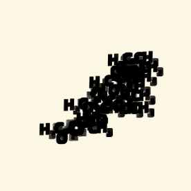 CC[C@H](C)[C@@H]([C@@H](CC(=O)N1CCC[C@H]1[C@H](OC)[C@@H](C)C(=O)NC(C)c1ccc(C(C)=O)cc1)OC)N(C)C(=O)[C@@H](NC(=O)[C@H](C(C)C)N(C)C)C(C)C